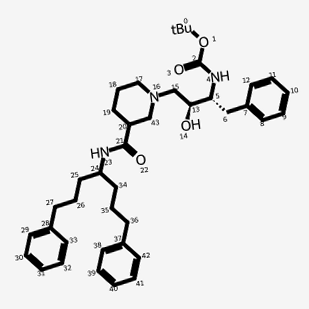 CC(C)(C)OC(=O)N[C@H](Cc1ccccc1)[C@@H](O)CN1CCCC(C(=O)NC(CCCc2ccccc2)CCCc2ccccc2)C1